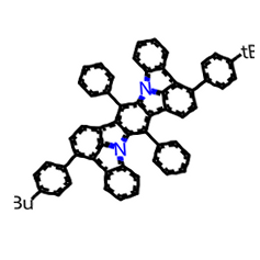 CC(C)(C)c1ccc(-c2ccc3c4c(-c5ccccc5)c5c(c(-c6ccccc6)c4n4c6ccccc6c2c34)c2ccc(-c3ccc(C(C)(C)C)cc3)c3c4ccccc4n5c23)cc1